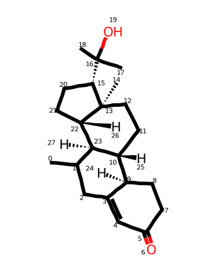 CC1CC2=CC(=O)CC[C@@H]2[C@H]2CC[C@]3(C)[C@@H](C(C)(C)O)CC[C@H]3[C@H]12